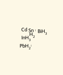 [BiH3].[Cd].[InH3].[PbH2].[SnH2]